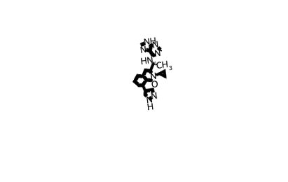 C[C@@H](Nc1ncnc2[nH]cnc12)c1cc2cccc(-c3cn[nH]c3)c2c(=O)n1C1CC1